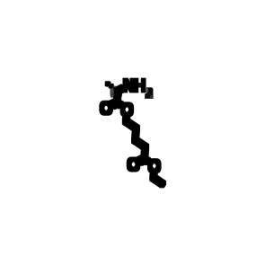 CCOC(=O)CCCCOC(=O)[C@H](C)N